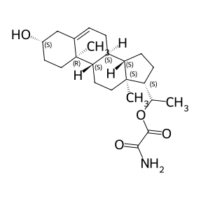 CC(OC(=O)C(N)=O)[C@H]1CC[C@H]2[C@@H]3CC=C4C[C@@H](O)CC[C@]4(C)[C@H]3CC[C@]12C